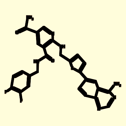 NC(=O)c1cnc(NCc2ccc(-c3ccc4ncnc(N)c4c3)s2)c(C(=O)NCc2ccc(F)c(F)c2)c1